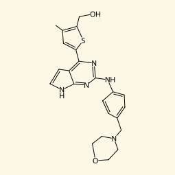 Cc1cc(-c2nc(Nc3ccc(CN4CCOCC4)cc3)nc3[nH]ccc23)sc1CO